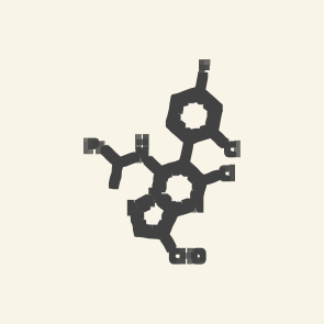 CC(C)C(C)Nc1c(-c2ccc(F)cc2Cl)c(Cl)nc2c(C=O)cnn12